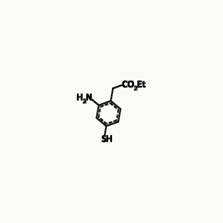 CCOC(=O)Cc1ccc(S)cc1N